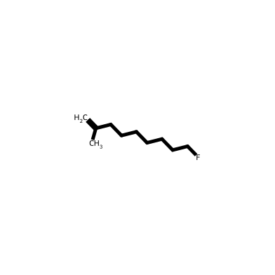 C=C(C)CCCCCCCF